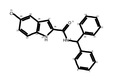 O=C(NC(c1ccccc1)c1ccccc1)c1cc2cc(Cl)ccc2[nH]1